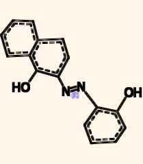 Oc1ccccc1/N=N/c1ccc2ccccc2c1O